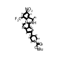 C[C@@H](Nc1ncnc2cc(C3=CCN(C(=O)OC(C)(C)C)CC3)sc12)c1cc([N+](=O)[O-])cc(C(F)(F)F)c1